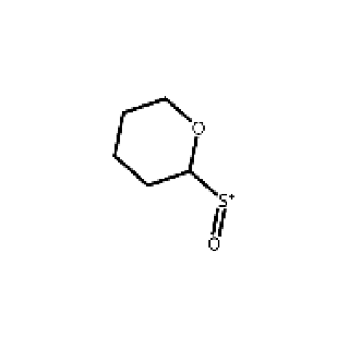 O=[S+]C1CCCCO1